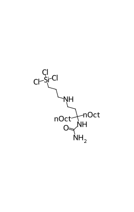 CCCCCCCCC(CCCCCCCC)(CCNCCC[Si](Cl)(Cl)Cl)NC(N)=O